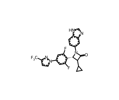 O=C1C(C2CC2)[C@H](c2c(F)cc(-n3ccc(C(F)(F)F)n3)cc2F)N1c1ccc2[nH]cnc2c1